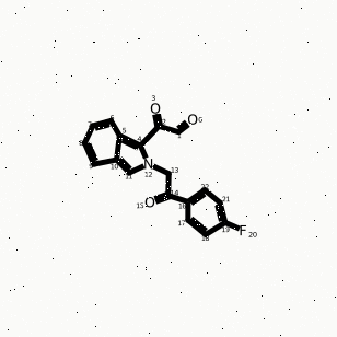 O=CC(=O)c1c2ccccc2cn1CC(=O)c1ccc(F)cc1